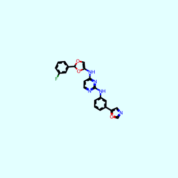 Fc1cccc(C2OC=C(Nc3ccnc(Nc4cccc(-c5cnco5)c4)n3)O2)c1